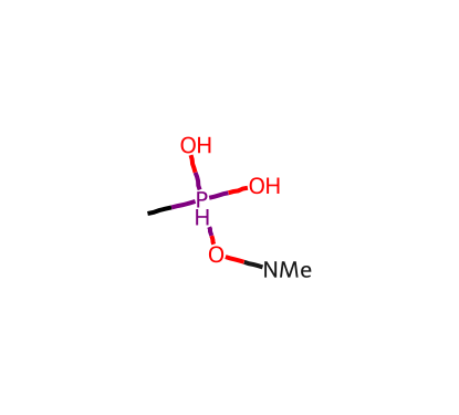 CNO[PH](C)(O)O